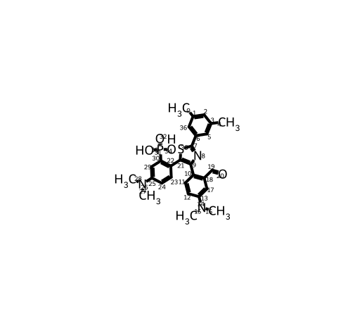 Cc1cc(C)cc(-c2nc(-c3ccc(N(C)C)cc3C=O)c(-c3ccc(N(C)C)cc3P(=O)(O)O)s2)c1